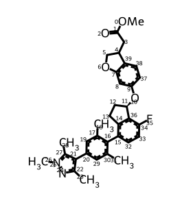 COC(=O)CC1COc2cc(O[C@@H]3CCc4c(-c5c(C)cc(-c6c(C)nn(C)c6C)cc5C)ccc(F)c43)ccc21